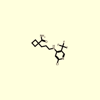 NC(=O)C1(CCCNc2cc(Cl)ncc2C(F)(F)F)CCC1